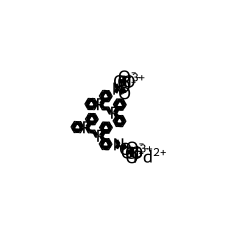 CN(C)C=O.CN(C)C=O.[O-][Cl+3]([O-])([O-])[O-].[O-][Cl+3]([O-])([O-])[O-].[Pd+2].c1ccc(P(CCCP(c2ccccc2)c2ccccc2)c2ccccc2)cc1.c1ccc(P(CCCP(c2ccccc2)c2ccccc2)c2ccccc2)cc1